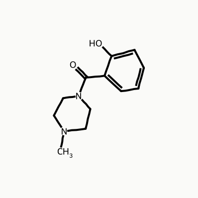 CN1CCN(C(=O)c2ccccc2O)CC1